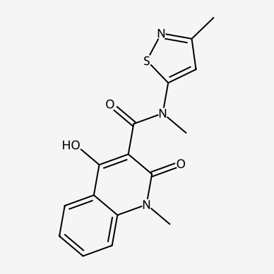 Cc1cc(N(C)C(=O)c2c(O)c3ccccc3n(C)c2=O)sn1